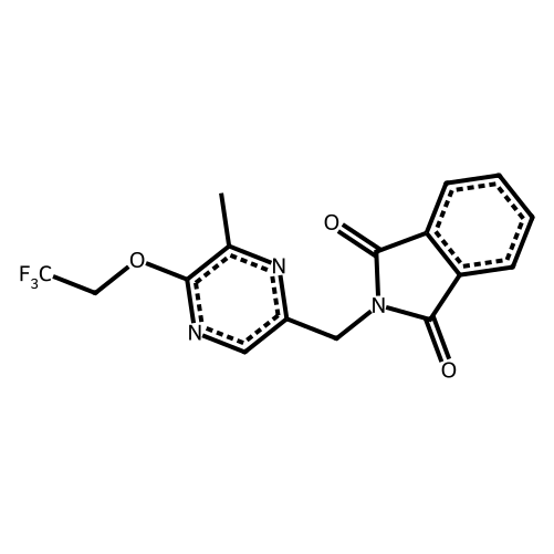 Cc1nc(CN2C(=O)c3ccccc3C2=O)cnc1OCC(F)(F)F